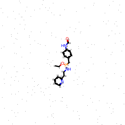 CCOP(Cc1ccc(NC=O)cc1)NCCc1ccccn1